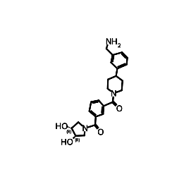 NCc1cccc(C2CCN(C(=O)c3cccc(C(=O)N4C[C@@H](O)[C@H](O)C4)c3)CC2)c1